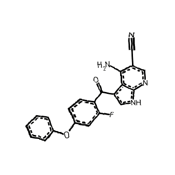 N#Cc1cnc2[nH]cc(C(=O)c3ccc(Oc4ccccc4)cc3F)c2c1N